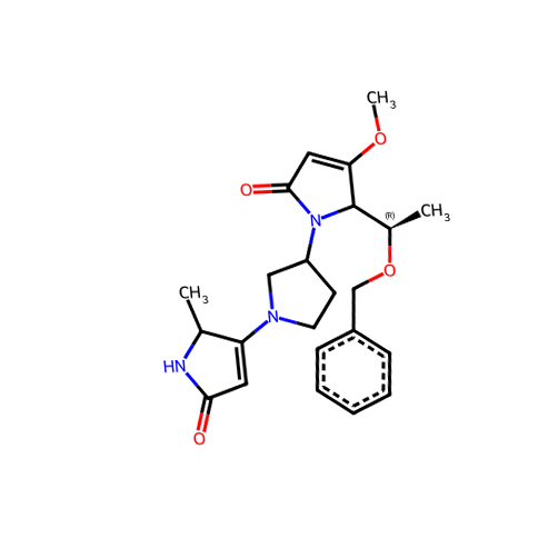 COC1=CC(=O)N(C2CCN(C3=CC(=O)NC3C)C2)C1[C@@H](C)OCc1ccccc1